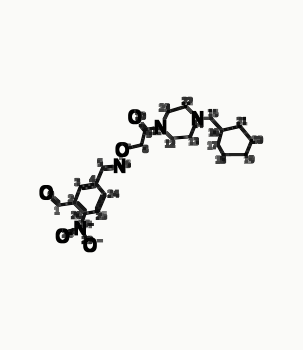 O=Cc1cc(C=NOCC(=O)N2CCN(CC3CCCCC3)CC2)ccc1[N+](=O)[O-]